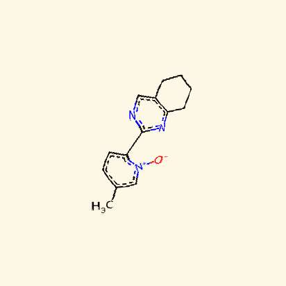 Cc1ccc(-c2ncc3c(n2)CCCC3)[n+]([O-])c1